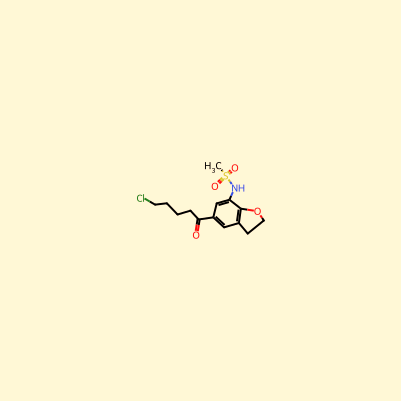 CS(=O)(=O)Nc1cc(C(=O)CCCCCl)cc2c1OCC2